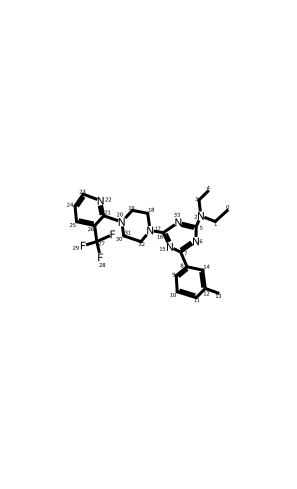 CCN(CC)c1nc(-c2cccc(C)c2)nc(N2CCN(c3ncccc3C(F)(F)F)CC2)n1